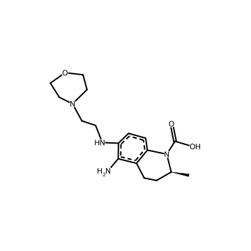 C[C@H]1CCc2c(ccc(NCCN3CCOCC3)c2N)N1C(=O)O